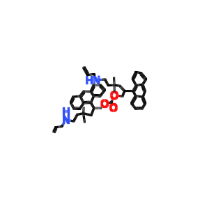 C=CCNCCC(C)(C)CC(COC(=O)OCC(CC(C)(C)CCNCC=C)c1c2ccccc2cc2ccccc12)c1c2ccccc2cc2ccccc12